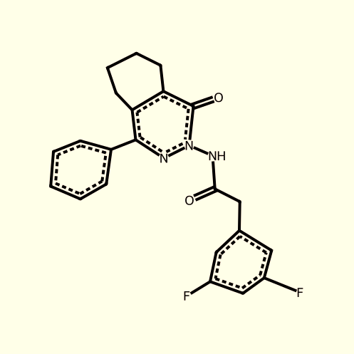 O=C(Cc1cc(F)cc(F)c1)Nn1nc(-c2ccccc2)c2c(c1=O)CCCC2